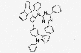 c1ccc(-c2nc(-c3ccccc3)nc(N3c4ccccc4C4(c5ccccc5-c5ccccc54)c4ccc(-c5ccc6c(c5)c5ccccc5n6-c5ccccc5)cc43)n2)cc1